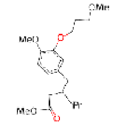 COCCCOc1cc(CC(CC(=O)OC)C(C)C)ccc1OC